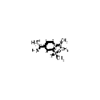 C[C@H](N)C1=CCN(N(C)C)C(S(C)(=O)=O)=C1